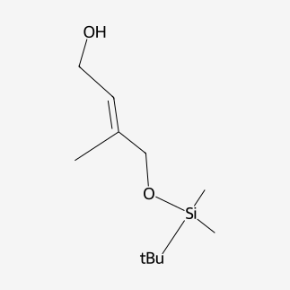 C/C(=C\CO)CO[Si](C)(C)C(C)(C)C